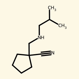 CC(C)CNCC1(C#N)CCCC1